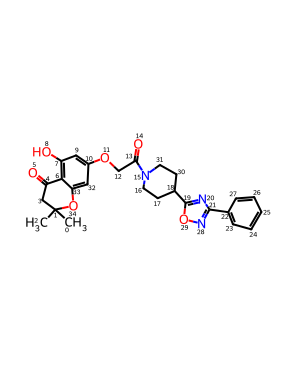 CC1(C)CC(=O)c2c(O)cc(OCC(=O)N3CCC(c4nc(-c5ccccc5)no4)CC3)cc2O1